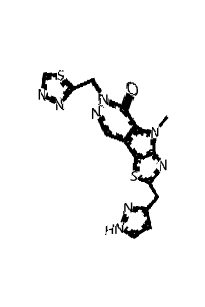 Cn1c2nc(Cc3cc[nH]n3)sc2c2cnn(Cc3nncs3)c(=O)c21